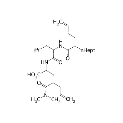 C=CCCC(CCCCCCC)C(=O)NC(CC(C)C)C(=O)NC(CC(CC=C)C(=O)N(C)C)C(=O)O